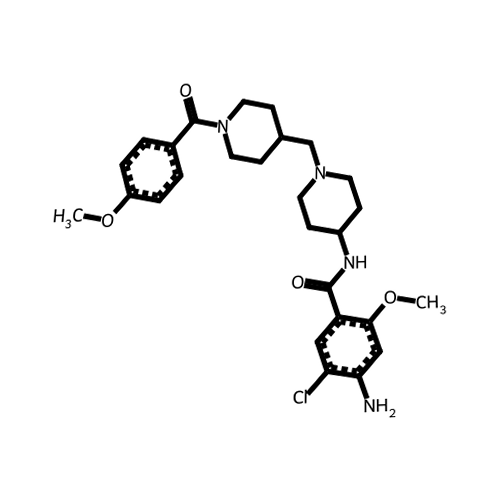 COc1ccc(C(=O)N2CCC(CN3CCC(NC(=O)c4cc(Cl)c(N)cc4OC)CC3)CC2)cc1